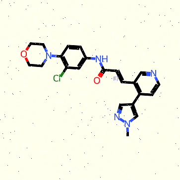 Cn1cc(-c2ccncc2/C=C/C(=O)Nc2ccc(N3CCOCC3)c(Cl)c2)cn1